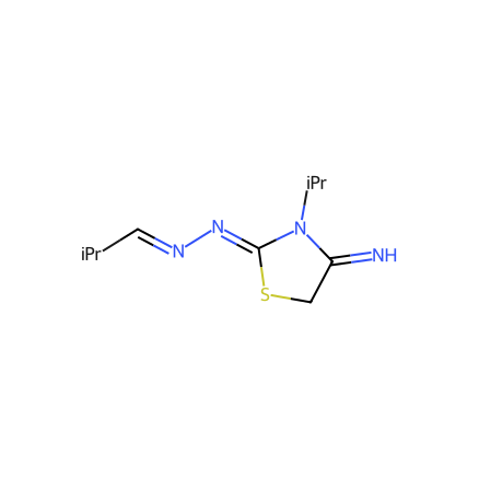 CC(C)/C=N/N=C1\SCC(=N)N1C(C)C